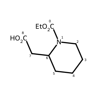 CCOC(=O)N1CCCCC1CC(=O)O